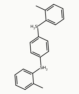 Cc1ccccc1[SiH2]c1ccc([SiH2]c2ccccc2C)cc1